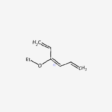 C=C/C=C(\C=C)OCC